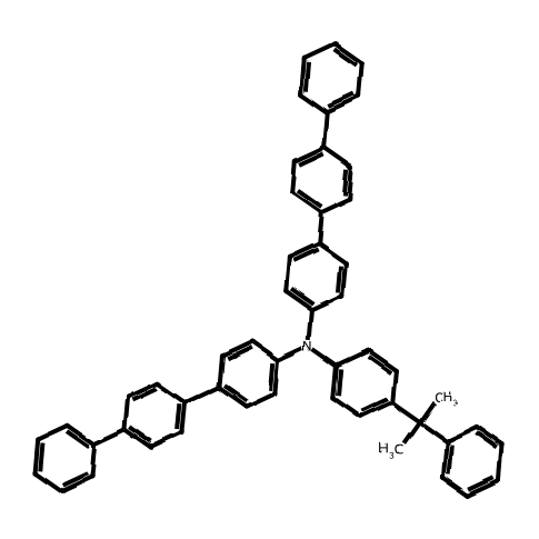 CC(C)(c1ccccc1)c1ccc(N(c2ccc(-c3ccc(-c4ccccc4)cc3)cc2)c2ccc(-c3ccc(-c4ccccc4)cc3)cc2)cc1